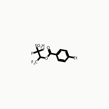 CCc1ccc(C(=O)OC(C(F)(F)F)C(F)(F)S(=O)(=O)O)cc1